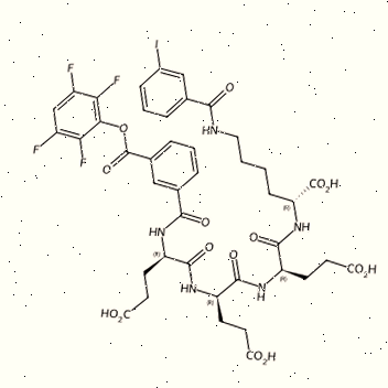 O=C(O)CC[C@@H](NC(=O)c1cccc(C(=O)Oc2c(F)c(F)cc(F)c2F)c1)C(=O)N[C@H](CCC(=O)O)C(=O)N[C@H](CCC(=O)O)C(=O)N[C@H](CCCCNC(=O)c1cccc(I)c1)C(=O)O